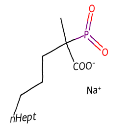 CCCCCCCCCCC(C)(C(=O)[O-])P(=O)=O.[Na+]